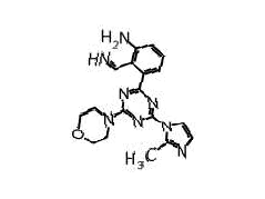 Cc1nccn1-c1nc(-c2cccc(N)c2C=N)nc(N2CCOCC2)n1